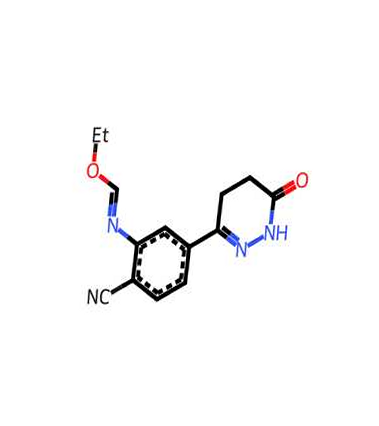 CCOC=Nc1cc(C2=NNC(=O)CC2)ccc1C#N